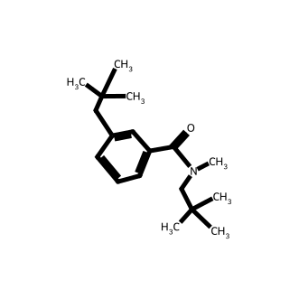 CN(CC(C)(C)C)C(=O)c1cccc(CC(C)(C)C)c1